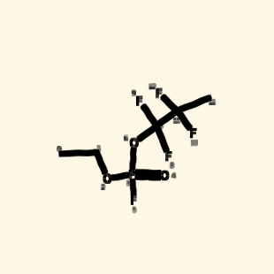 CCOP(=O)(F)OC(F)(F)C(C)(F)F